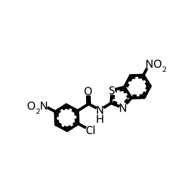 O=C(Nc1nc2ccc([N+](=O)[O-])cc2s1)c1cc([N+](=O)[O-])ccc1Cl